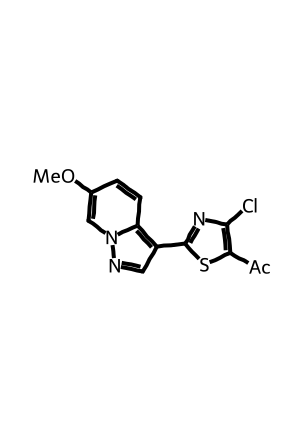 COc1ccc2c(-c3nc(Cl)c(C(C)=O)s3)cnn2c1